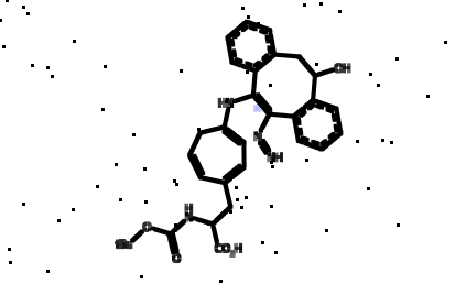 CC(C)(C)OC(=O)NC(CC1=CC=C(N/C2=C(\N=N)c3ccccc3C(O)Cc3ccccc32)CC=C1)C(=O)O